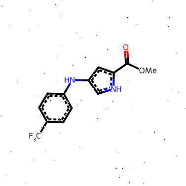 COC(=O)c1cc(Nc2ccc(C(F)(F)F)cc2)c[nH]1